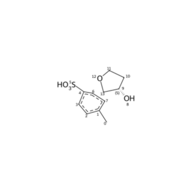 Cc1ccc(S(=O)(=O)O)cc1.O[C@H]1CCOC1